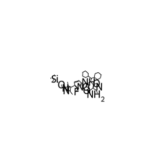 Cc1noc([C@@H](C(=O)Nc2ccc(-c3c(C)nn(COCC[Si](C)(C)C)c3C)c(F)n2)C(C2CCCCC2)C2CCCCC2)c1C(N)=O